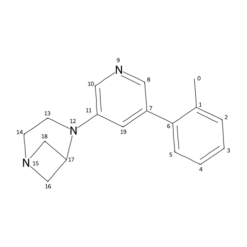 Cc1ccccc1-c1cncc(N2CCN3CC2C3)c1